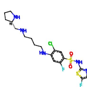 O=S(=O)(Nc1ncc(F)s1)c1cc(Cl)c(NCCCCNC[C@@H]2CCCN2)cc1F